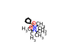 CC(C)N(C(C)C)N(C(C)C)S(=O)(=O)c1ccccc1